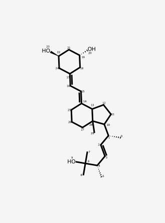 C[C@H](/C=C/[C@H](C)C(C)(C)O)C1CCC2/C(=C/C=C3C[C@@H](O)C[C@H](O)C3)CCCC21C